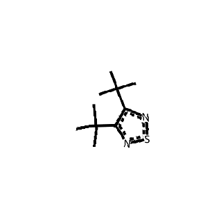 CC(C)(C)c1nsnc1C(C)(C)C